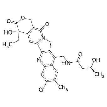 CC[C@@]1(O)C(=O)OCc2c1cc1n(c2=O)Cc2c-1nc1cc(Cl)c(C)cc1c2CNC(=O)C[C@H](C)O